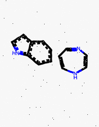 C1=CNC=CN=C1.c1ccc2[nH]ccc2c1